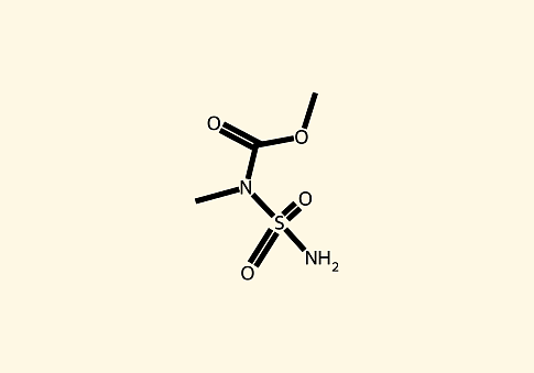 COC(=O)N(C)S(N)(=O)=O